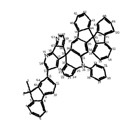 CC1(C)c2ccccc2-c2ccc(-c3cnc4c(c3)C3(c5ccccc5N(c5ccccc5)c5cc6c(cc53)-c3ccccc3C63c5ccccc5-c5ccccc53)c3cccnc3-4)cc21